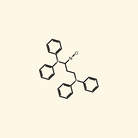 [Cl][Ni][CH](CCP(c1ccccc1)c1ccccc1)P(c1ccccc1)c1ccccc1